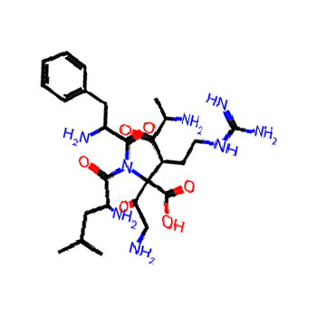 CC(C)CC(N)C(=O)N(C(=O)C(N)Cc1ccccc1)C(C(=O)O)(C(=O)CN)C(CCNC(=N)N)C(=O)C(C)N